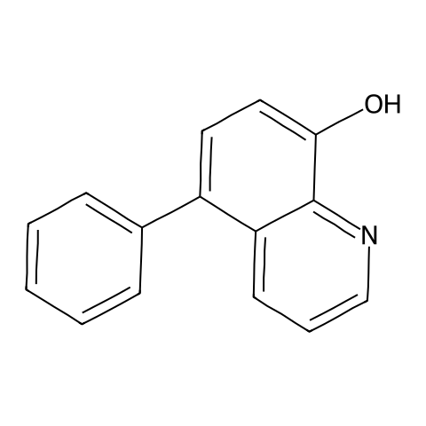 Oc1ccc(-c2ccccc2)c2cccnc12